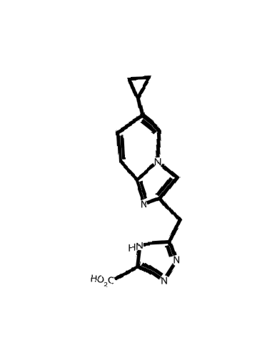 O=C(O)c1nnc(Cc2cn3cc(C4CC4)ccc3n2)[nH]1